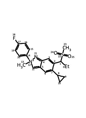 CCC(c1cc2c(cc1C1CC1)=C[N+](C)(c1ccc(F)cc1)N=2)S(C)(=O)=O